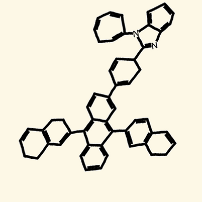 C1=CCC=C(n2c(C3C=CC(c4ccc5c(C6=CC7=C(C=CCC7)CC6)c6ccccc6c(-c6ccc7c(c6)CCC=C7)c5c4)=CC3)nc3ccccc32)C=C1